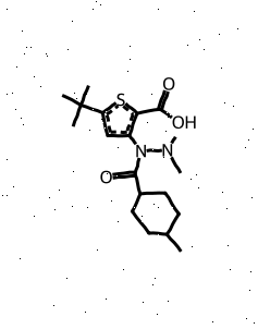 CC1CCC(C(=O)N(c2cc(C(C)(C)C)sc2C(=O)O)N(C)C)CC1